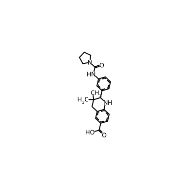 CC1(C)Cc2cc(C(=O)O)ccc2NC1c1cccc(NC(=O)N2CCCC2)c1